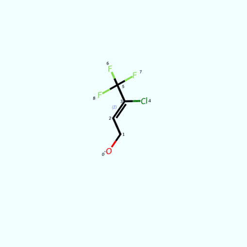 [O]C/C=C(\Cl)C(F)(F)F